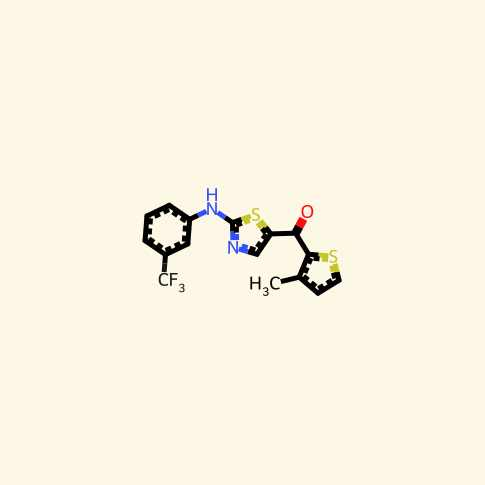 Cc1ccsc1C(=O)c1cnc(Nc2cccc(C(F)(F)F)c2)s1